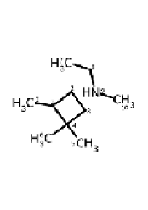 CC1CCC1(C)C.CCNC